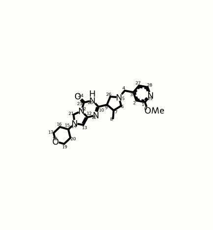 COc1cc(CN2CC(C)C(C3=NC4=CN(C5CCOCC5)CN4C(=O)N3)C2)ccn1